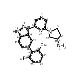 N[C@@H]1CCN(c2cncc(-c3n[nH]c4ccc(-c5c(F)cccc5F)cc34)n2)C1